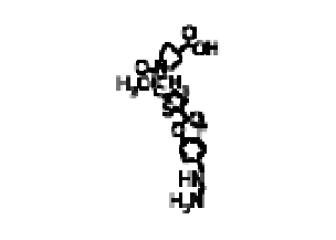 CC(C)(Cc1ccc(C(=O)Oc2ccc(CNCN)cc2F)s1)C(=O)N1CCC(C(=O)O)CC1